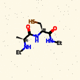 CCNC(=O)[C@@H](CS)NC(=O)[C@@H](C)NCC